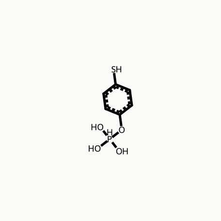 O[PH](O)(O)Oc1ccc(S)cc1